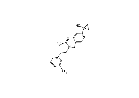 N#CC1(c2ccc(CN(CCc3cccc(C(F)(F)F)c3)C(=O)C(F)(F)F)cc2)CC1